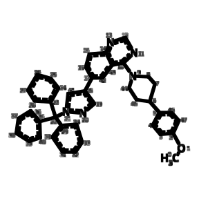 COc1ccc(C2CCN(c3ncnc4ccc(-c5cnn(C(c6ccccc6)(c6ccccc6)c6ccccc6)c5)cc34)CC2)cc1